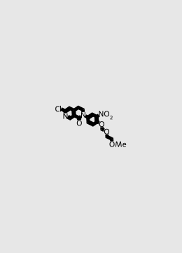 COCCOCOc1ccc(N2CCc3cc(Cl)ncc3C2=O)cc1[N+](=O)[O-]